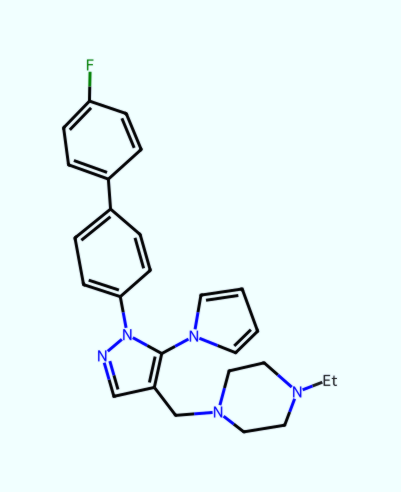 CCN1CCN(Cc2cnn(-c3ccc(-c4ccc(F)cc4)cc3)c2-n2cccc2)CC1